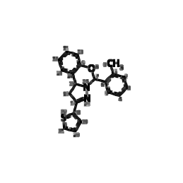 Cc1ccccc1C1Oc2ccccc2C2CC(c3cccs3)=NN21